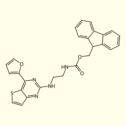 O=C(NCCNc1nc(-c2ccco2)c2sccc2n1)OCC1c2ccccc2-c2ccccc21